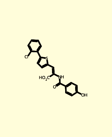 O=C(O)/C(=C\c1ccc(-c2ccccc2Cl)s1)NC(=O)c1ccc(O)cc1